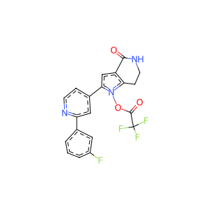 O=C1NCCc2c1cc(-c1ccnc(-c3cccc(F)c3)c1)n2OC(=O)C(F)(F)F